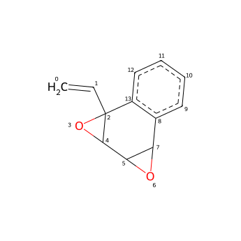 C=CC12OC1C1OC1c1ccccc12